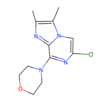 Cc1nc2c(N3CCOCC3)nc(Cl)cn2c1C